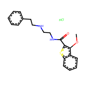 COc1c(C(=O)NCCNCCc2ccccc2)sc2ccccc12.Cl